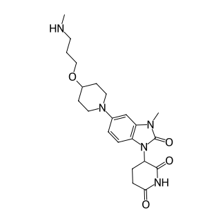 CNCCCOC1CCN(c2ccc3c(c2)n(C)c(=O)n3C2CCC(=O)NC2=O)CC1